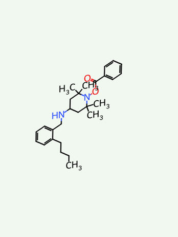 CCCCc1ccccc1CNC1CC(C)(C)N(OC(=O)c2ccccc2)C(C)(C)C1